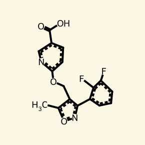 Cc1onc(-c2cccc(F)c2F)c1COc1ccc(C(=O)O)cn1